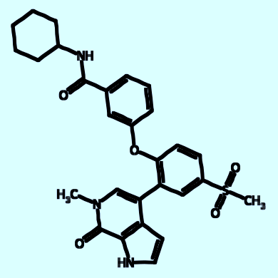 Cn1cc(-c2cc(S(C)(=O)=O)ccc2Oc2cccc(C(=O)NC3CCCCC3)c2)c2cc[nH]c2c1=O